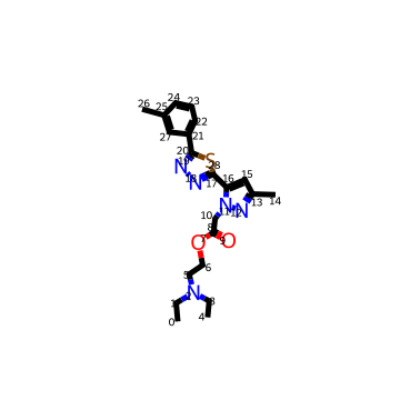 CCN(CC)CCOC(=O)Cn1nc(C)cc1-c1nnc(-c2cccc(C)c2)s1